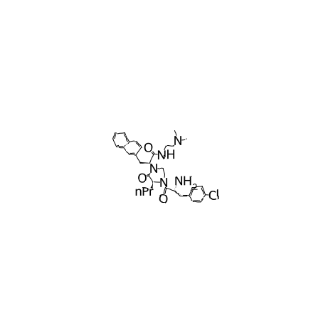 CCC[C@H]1C(=O)N([C@@H](Cc2ccc3ccccc3c2)C(=O)NCCN(C)C)CCN1C(=O)[C@H](N)Cc1ccc(Cl)cc1